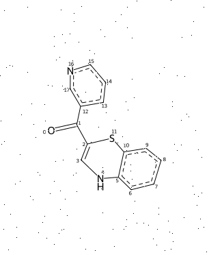 O=C(C1=CNc2ccccc2S1)c1cccnc1